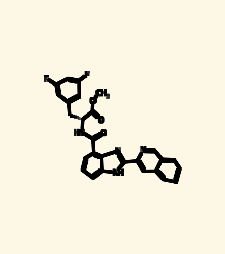 COC(=O)[C@@H](Cc1cc(F)cc(F)c1)NC(=O)c1cccc2[nH]c(-c3cc4ccccc4cn3)nc12